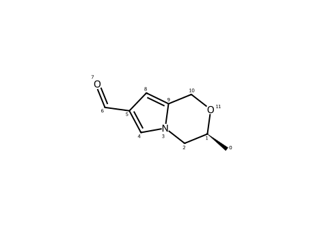 C[C@H]1Cn2cc(C=O)cc2CO1